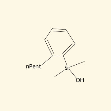 CCCCCc1ccccc1[Si](C)(C)O